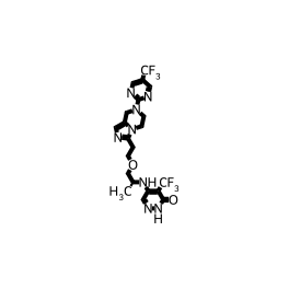 C[C@@H](COCCc1ncc2n1CCN(c1ncc(C(F)(F)F)cn1)C2)Nc1cn[nH]c(=O)c1C(F)(F)F